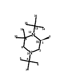 C[C@H]1CN(C(C)(C)C)CC(C)(C)N1C(C)(C)C